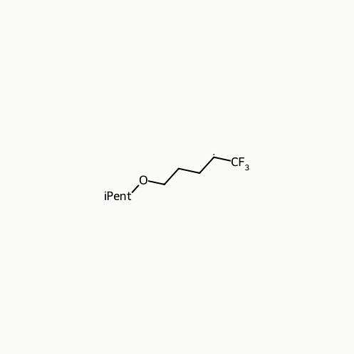 CCCC(C)OCCC[CH]C(F)(F)F